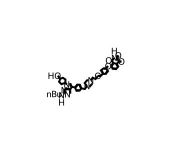 CCCCNc1ncc2c(-c3ccc(CN4CCN(CCOCc5ccc(Oc6cccc7c6C(=O)NC(=O)C7=O)cc5)CC4)cc3)cn(C3CCC(O)CC3)c2n1